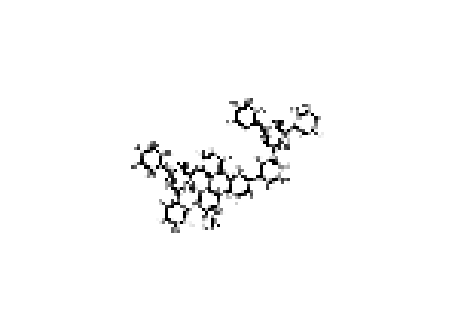 N#Cc1cccc(-c2ccc(-c3cccc(-c4nc(-c5ccccc5)nc(-c5ccccc5)n4)c3)cc2-c2cccc(-c3nc(-c4ccccc4)nc(-c4ccccc4)n3)c2)c1